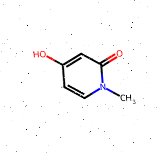 Cn1c[c]c(O)cc1=O